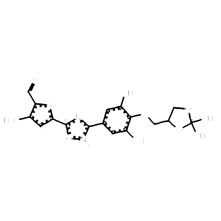 Cc1cc(-c2nc(-c3cc(C)c(OCC4COC(C)(C)O4)c(C)c3)no2)sc1C=O